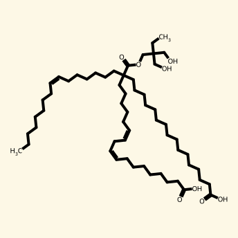 CCCCCCCC/C=C\CCCCCCC(CCCCC/C=C\C/C=C\CCCCCCCC(=O)O)(CCCCCCCCCCCCCCCC(=O)O)C(=O)OCC(CC)(CO)CO